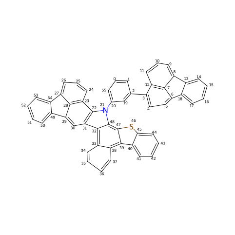 c1cc(-c2ccc3c4c(cccc24)-c2ccccc2-3)cc(-n2c3c4cccc5c4c(cc3c3c4ccccc4c4c6ccccc6sc4c32)-c2ccccc2-5)c1